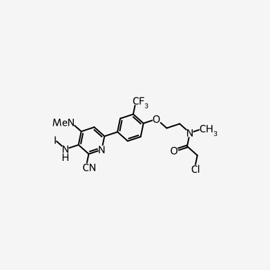 CNc1cc(-c2ccc(OCCN(C)C(=O)CCl)c(C(F)(F)F)c2)nc(C#N)c1NI